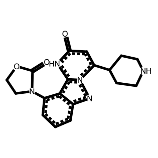 O=C1OCCN1c1cccc2nn3c(C4CCNCC4)cc(=O)[nH]c3c12